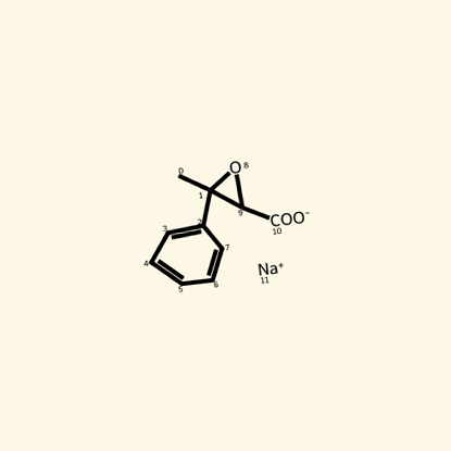 CC1(c2ccccc2)OC1C(=O)[O-].[Na+]